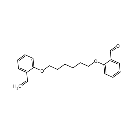 C=Cc1ccccc1OCCCCCCOc1ccccc1C=O